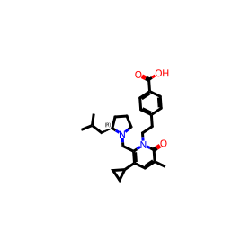 Cc1cc(C2CC2)c(CN2CCC[C@@H]2CC(C)C)n(CCc2ccc(C(=O)O)cc2)c1=O